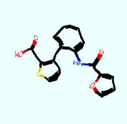 O=C(Nc1ccccc1-c1ccsc1C(=O)O)c1ccco1